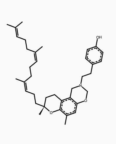 CC(C)=CCCC(C)=CCCC(C)=CCC[C@]1(C)CCc2c3c(cc(C)c2O1)OCN(CCc1ccc(O)cc1)C3